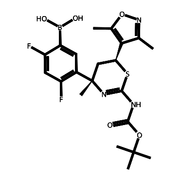 Cc1noc(C)c1[C@@H]1C[C@@](C)(c2cc(B(O)O)c(F)cc2F)N=C(NC(=O)OC(C)(C)C)S1